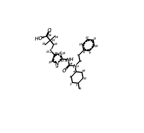 CC1CCC(N(CCc2ccccc2)C(=O)Nc2ncc(SCC(C)(C)C(=O)O)s2)CC1